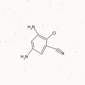 N#Cc1cc(N)cc(N)c1Cl